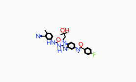 Cc1ccc(NC(=O)Nc2nc3cc(N(C)C(=O)c4ccc(F)cc4)ccc3n2CCC(C)(C)O)cc1C#N